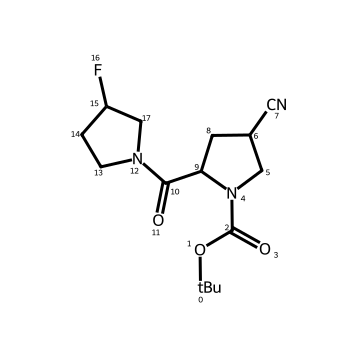 CC(C)(C)OC(=O)N1CC(C#N)CC1C(=O)N1CCC(F)C1